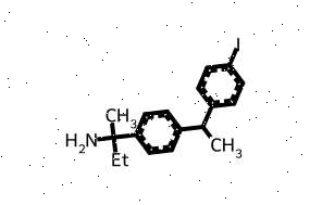 CCC(C)(N)c1ccc(C(C)c2ccc(I)cc2)cc1